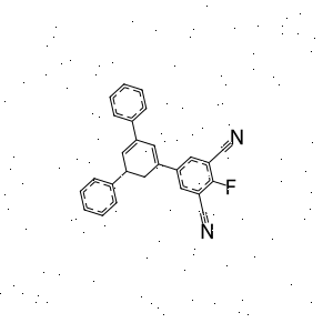 N#Cc1cc(C2=CC(c3ccccc3)=CC(c3ccccc3)C2)cc(C#N)c1F